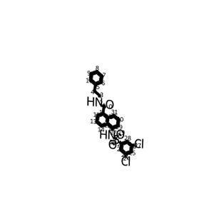 O=C(NCCc1ccccc1)c1cccc2c(NS(=O)(=O)c3cc(Cl)cc(Cl)c3)cccc12